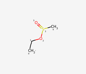 [CH2]COS(C)=O